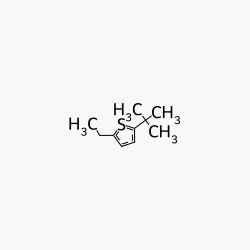 CCc1ccc(C(C)(C)C)s1